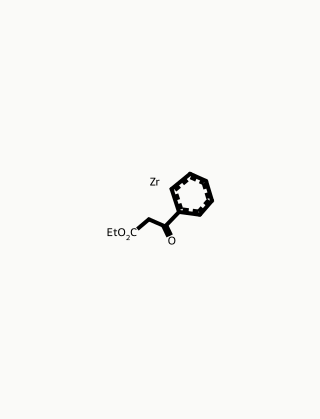 CCOC(=O)CC(=O)c1ccccc1.[Zr]